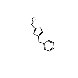 O=CC1=CC(Cc2ccccc2)=CC1